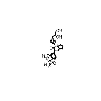 Cc1cc([C@@H](CC2CCCC2)C(=O)Nc2ccn(C[C@@H](O)CO)n2)ccc1S(C)(=O)=O